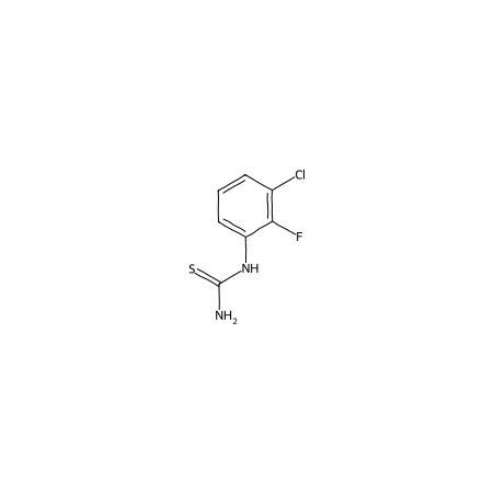 NC(=S)Nc1cccc(Cl)c1F